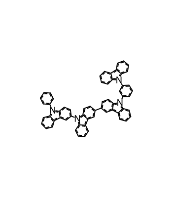 c1ccc(-n2c3ccccc3c3cc(-n4c5ccccc5c5cc(-c6ccc7c(c6)c6ccccc6n7-c6cccc(-n7c8ccccc8c8ccccc87)c6)ccc54)ccc32)cc1